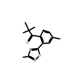 Cc1noc(-c2cc(F)ccc2C(=O)C(C)(C)C)n1